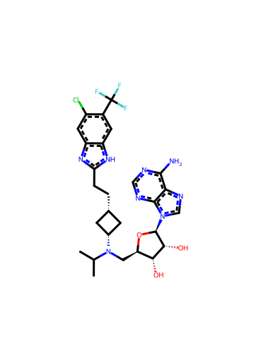 CC(C)N(C[C@H]1O[C@@H](n2cnc3c(N)ncnc32)[C@H](O)[C@@H]1O)[C@H]1C[C@@H](CCc2nc3cc(Cl)c(C(F)(F)F)cc3[nH]2)C1